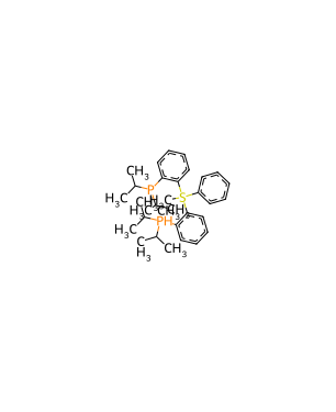 CC(C)P(c1ccccc1S(C)(c1ccccc1)c1ccccc1[PH](C)(C(C)C)C(C)C)C(C)C